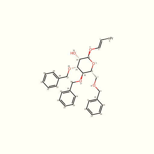 CCCC=CO[C@H]1O[C@H](COCc2ccccc2)[C@@H](OCc2ccccc2)[C@H](OCc2ccccc2)[C@@H]1O